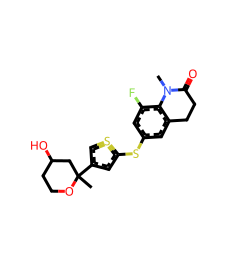 CN1C(=O)CCc2cc(Sc3cc(C4(C)CC(O)CCO4)cs3)cc(F)c21